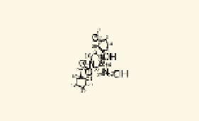 COc1cccc([C@@]2(O)CCN(S(=O)(=O)Cc3ccccc3)C[C@@H]2CN(C)C)c1.Cl